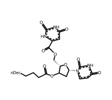 CCCCCCCCCCCCCC(=O)OC1C[C@@H](n2ccc(=O)[nH]c2=O)O[C@H]1COC(=O)c1cc(=O)[nH]c(=O)[nH]1